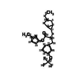 CCN1CC2C(C1)C2CN(Cc1cccc(OC(F)(F)F)c1)C(=O)Oc1ccn(C)n1